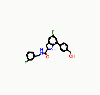 O=C(NCc1cccc(F)c1)C1Cc2cc(F)cc(-c3ccc(CO)cc3)c2N1